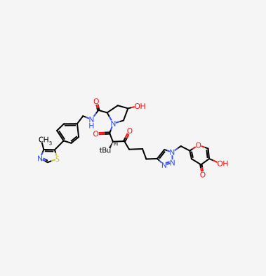 Cc1ncsc1-c1ccc(CNC(=O)C2CC(O)CN2C(=O)[C@@H](C(=O)CCCc2cn(Cc3cc(=O)c(O)co3)nn2)C(C)(C)C)cc1